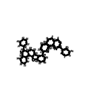 c1ccc(-c2ccc3ccc4ccc(-c5cccc6oc7c(ccc8c(-c9ccccc9)nc9ccccc9c87)c56)nc4c3n2)cc1